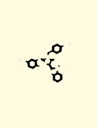 CCNc1ccc(C#N)cc1/N=C1\S/C(=C2\Sc3ccccc3N2C)C(=O)N1Cc1ccc(OC)cc1